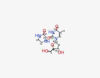 Cc1cn([C@H]2C[C@H](O)[C@@H](CO)O2)c(=O)[nH]c1=O.O=C1CNCCN1